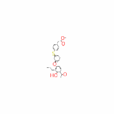 CCCc1c(O[C@@H]2CCC[C@H](Sc3ccc(CC(=O)OC)cc3)C2)ccc(C(C)=O)c1O